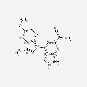 COc1ccc2c(-c3cc(C(N)=O)nc4[nH]ncc34)cn(C)c2c1